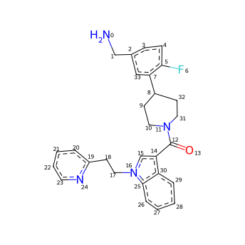 NCc1ccc(F)c(C2CCN(C(=O)c3cn(CCc4ccccn4)c4ccccc34)CC2)c1